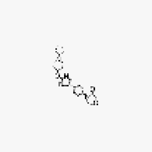 O=C1COCCN1c1ccc(-c2cnc(OC3CCN(C4CCCC4)CC3)nc2)cc1